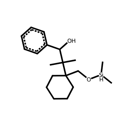 C[SiH](C)OCC1(C(C)(C)C(O)c2ccccc2)CCCCC1